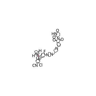 N#Cc1ccc(O[C@H]2C[C@H]3CC[C@@H](C2)N3C(=O)c2ccc(N3CCN(CC4CCN(c5ccc6c(c5)C(=O)N(C5CCC(=O)NC5=O)C6=O)CC4)CC3)c(F)c2)cc1Cl